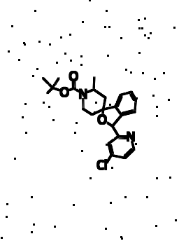 CC1CC2(CCN1C(=O)OC(C)(C)C)OC(c1cc(Cl)ccn1)c1ccccc12